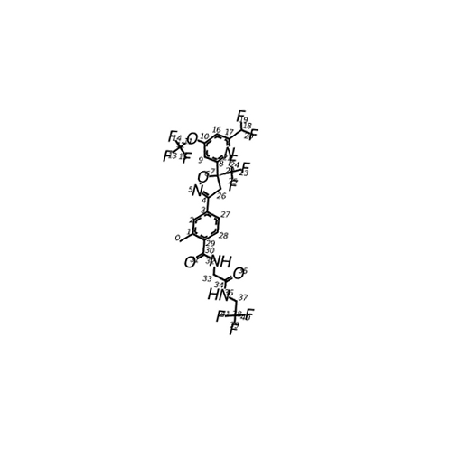 Cc1cc(C2=NO[C@@](c3cc(OC(F)(F)F)cc(C(F)F)n3)(C(F)(F)F)C2)ccc1C(=O)NCC(=O)NCC(F)(F)F